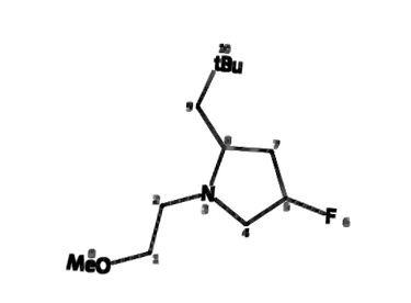 COCCN1CC(F)CC1CC(C)(C)C